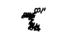 Cc1oc(-c2ccccc2)nc1CCOc1ccc(CCC(=O)O)c2c1CN(C(=O)OCC(C)C)C2